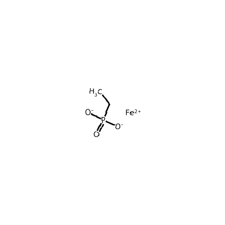 CCP(=O)([O-])[O-].[Fe+2]